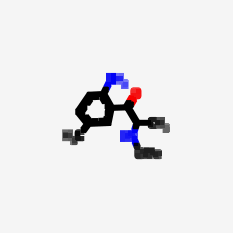 CONC(C)C(=O)c1cc(C)ccc1N